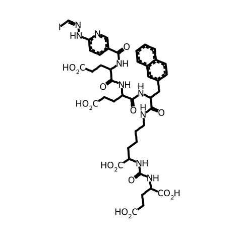 O=C(O)CCC(NC(=O)NC(CCCCNC(=O)C(Cc1ccc2ccccc2c1)NC(=O)C(CCC(=O)O)NC(=O)C(CCC(=O)O)NC(=O)c1ccc(N/N=C\I)nc1)C(=O)O)C(=O)O